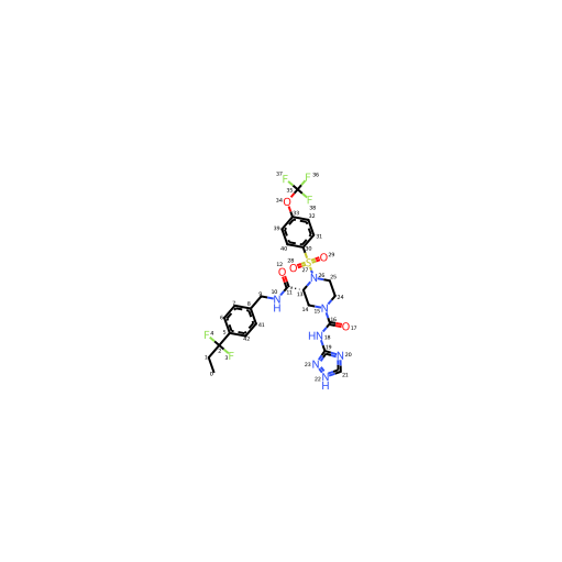 CCC(F)(F)c1ccc(CNC(=O)[C@H]2CN(C(=O)Nc3nc[nH]n3)CCN2S(=O)(=O)c2ccc(OC(F)(F)F)cc2)cc1